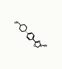 CCC[C@H]1CC[C@H](c2ccc(C3=N[C@@H](C(C)C)CO3)cc2)CC1